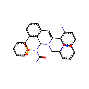 NC(=O)N(C1c2c(cccc2-c2ccccc2)C=C(c2ccccc2N)N1Cc1ccccn1)[SH](=O)=O